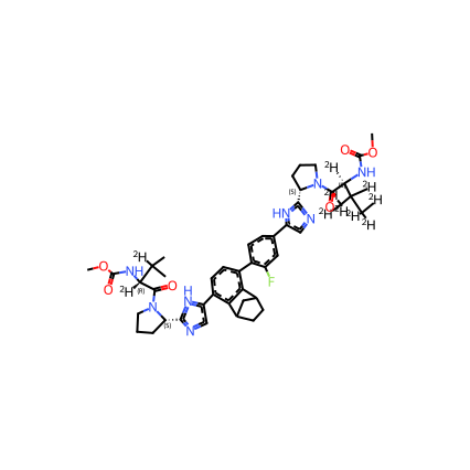 [2H]C([2H])([2H])C([2H])(C([2H])([2H])[2H])[C@]([2H])(NC(=O)OC)C(=O)N1CCC[C@H]1c1ncc(-c2ccc(-c3ccc(-c4cnc([C@@H]5CCCN5C(=O)[C@]([2H])(NC(=O)OC)C([2H])(C)C)[nH]4)c4c3C3CCC4C3)c(F)c2)[nH]1